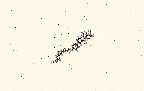 O=C1CCC(N2C(=O)c3ccc(N4CCC(OCCOCCCO[C@H]5C[C@H](O)C5)CC4)cc3C2=O)C(=O)N1